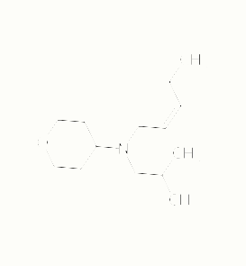 CC/C=C\CN(CC(C)C)C1CCOCC1